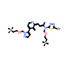 C=c1c(-c2ccnn2COCC[Si](C)(C)C)ccn/c1=C/C=C(\C)N(COCC[Si](C)(C)C)c1nnc(C(C)C)s1